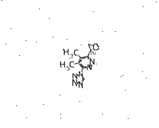 Cc1c([C@H]2CO2)nnc(-n2cnnn2)c1C